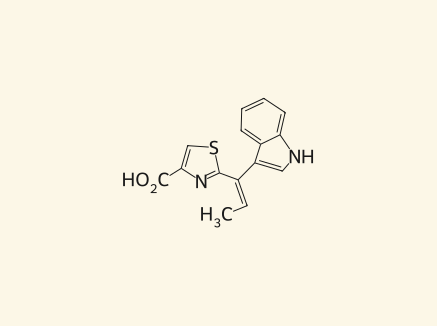 CC=C(c1nc(C(=O)O)cs1)c1c[nH]c2ccccc12